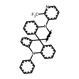 FC(F)(F)c1ncccc1N1c2ccccc2C2(c3ccccc3N(c3ccccc3)c3ccccc32)c2ccccc21